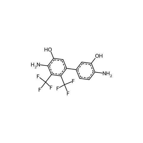 Nc1ccc(-c2cc(O)c(N)c(C(F)(F)F)c2C(F)(F)F)cc1O